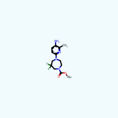 Cc1nc(N2CCN(C(=O)OC(C)(C)C)CC(F)(F)C2)ccc1N